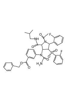 CC(=O)N1C(C(=O)NCC(C)C)C(N(C(N)=O)c2cccc(C(=O)OCc3ccccc3)c2)C(S(=O)(=O)c2ccccc2F)C1c1ccccc1F